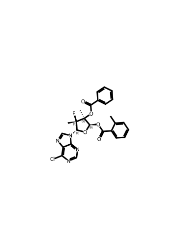 Cc1ccccc1C(=O)O[C@H]1O[C@H](n2cnc3c(Cl)ncnc32)[C@](C)(F)[C@@]1(C)OC(=O)c1ccccc1